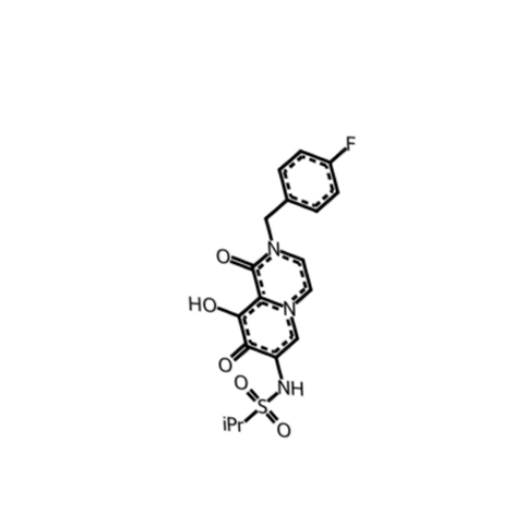 CC(C)S(=O)(=O)Nc1cn2ccn(Cc3ccc(F)cc3)c(=O)c2c(O)c1=O